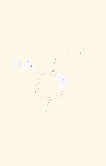 COCc1nc(Br)c(F)cc1N